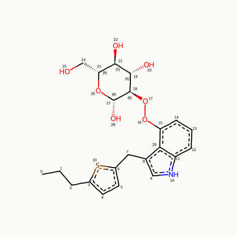 CCCc1ccc(Cc2c[nH]c3cccc(OO[C@@H]4[C@@H](O)[C@H](O)[C@@H](CO)O[C@H]4O)c23)s1